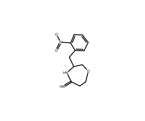 N=C1CCOCC(Cc2ccccc2[N+](=O)[O-])N1